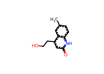 Cc1ccc2[nH]c(=O)cc(CCO)c2c1